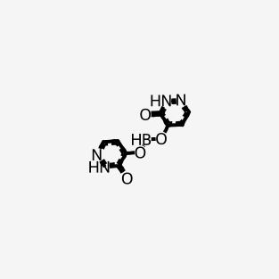 O=c1[nH]nccc1OBOc1ccn[nH]c1=O